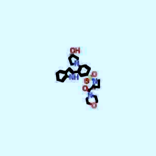 O=C([C@@H]1CCN1S(=O)(=O)c1ccc(N2CC[C@H](O)C2)c(-c2cc3ccccc3[nH]2)c1)N1CCOCC1